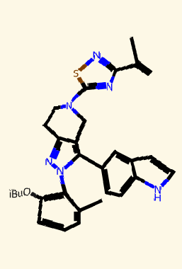 C=C(C)c1nsc(N2CCc3nn(-c4c(C)cccc4OCC(C)C)c(-c4ccc5[nH]ccc5c4)c3C2)n1